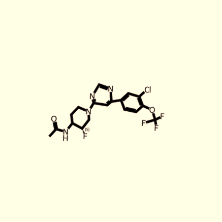 CC(=O)NC1CCN(c2cc(-c3ccc(OC(F)(F)F)c(Cl)c3)ncn2)C[C@@H]1F